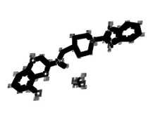 CN(CC1CCN(c2nc3ccccc3s2)CC1)C1COc2cccc(Cl)c2O1.Cl.Cl